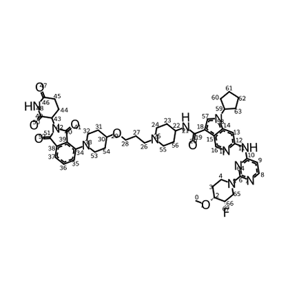 CO[C@@H]1CCN(c2nccc(Nc3cc4c(cn3)c(C(=O)NC3CCN(CCCOC5CCN(c6cccc7c6C(=O)N(C6CCC(=O)NC6=O)C7=O)CC5)CC3)cn4C3CCCC3)n2)C[C@@H]1F